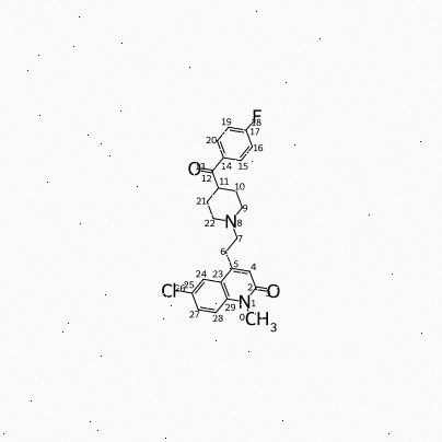 Cn1c(=O)cc(CCN2CCC(C(=O)c3ccc(F)cc3)CC2)c2cc(Cl)ccc21